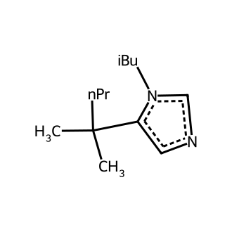 CCCC(C)(C)c1cncn1C(C)CC